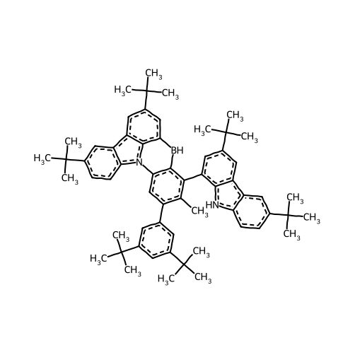 Cc1c(-c2cc(C(C)(C)C)cc(C(C)(C)C)c2)cc2c(c1-c1cc(C(C)(C)C)cc3c1[nH]c1ccc(C(C)(C)C)cc13)Bc1cc(C(C)(C)C)cc3c4cc(C(C)(C)C)ccc4n-2c13